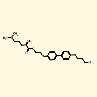 C=C(CCCN(C)C)C(=O)OCCOc1ccc(-c2ccc(CCCCC)cc2)cc1